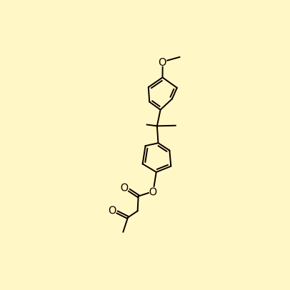 COc1ccc(C(C)(C)c2ccc(OC(=O)CC(C)=O)cc2)cc1